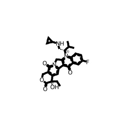 CC[C@@]1(O)C(=O)OCc2c1cc1n(c2=O)Cc2c-1c(=O)c1cc(F)ccc1n2[C@H](CNC1CC1)C(C)C